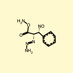 NN=N[C@H](C(=O)ON)[C@H](N=O)c1ccccc1